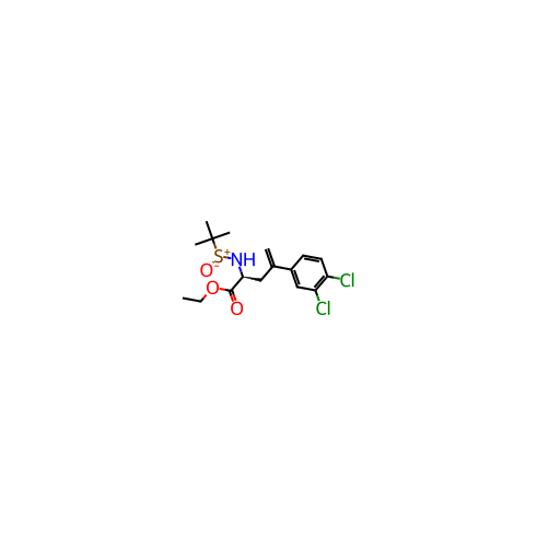 C=C(C[C@H](N[S+]([O-])C(C)(C)C)C(=O)OCC)c1ccc(Cl)c(Cl)c1